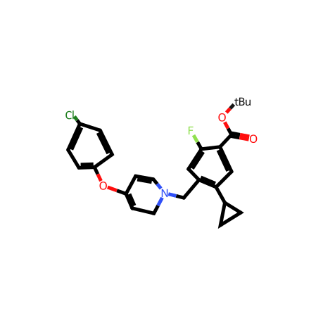 CC(C)(C)OC(=O)c1cc(C2CC2)c(CN2C=CC(Oc3ccc(Cl)cc3)=CC2)cc1F